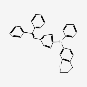 C(=C(c1ccccc1)c1ccccc1)c1ccc(N(c2ccccc2)c2ccc3c(c2)CCCC3)cc1